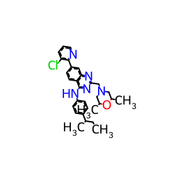 CCC(C)c1ccc(Nc2nc(CN3CC(C)OC(C)C3)nc3cc(-c4ncccc4Cl)ccc23)cc1